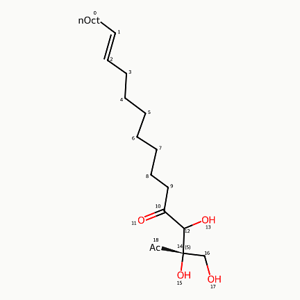 CCCCCCCCC=CCCCCCCCC(=O)C(O)[C@@](O)(CO)C(C)=O